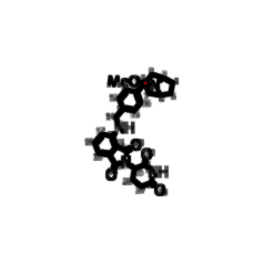 COC1CC2CCC(C1)N2Cc1ccc(CNc2cccc3c2C(=O)N(C2CCC(=O)NC2=O)C3=O)cc1